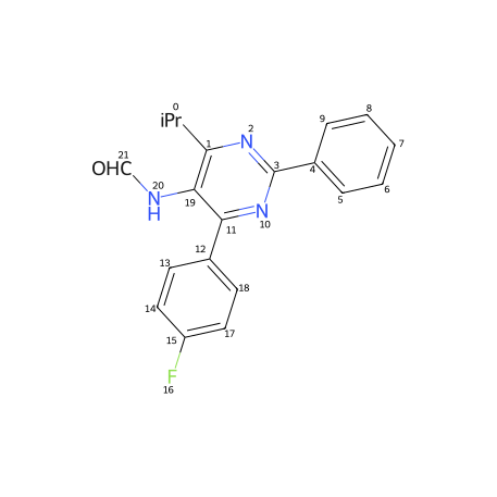 CC(C)c1nc(-c2ccccc2)nc(-c2ccc(F)cc2)c1NC=O